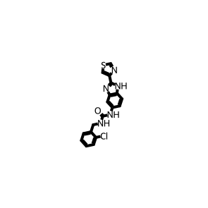 O=C(NCc1ccccc1Cl)Nc1ccc2[nH]c(-c3cscn3)nc2c1